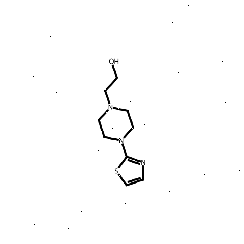 OCCN1CCN(c2nccs2)CC1